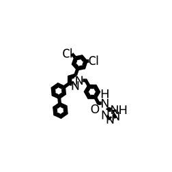 O=C(Nc1nnn[nH]1)c1ccc(Cn2nc(-c3cccc(-c4ccccc4)c3)cc2-c2cc(Cl)cc(Cl)c2)cc1